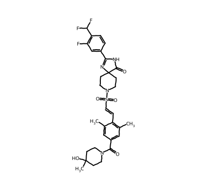 Cc1cc(C(=O)N2CCC(C)(O)CC2)cc(C)c1C=CS(=O)(=O)N1CCC2(CC1)N=C(c1ccc(C(F)F)c(F)c1)NC2=O